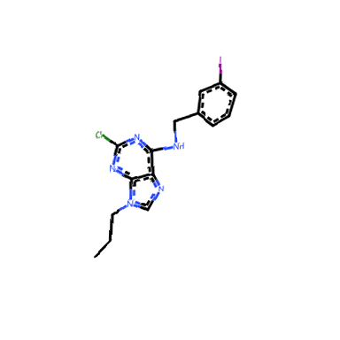 CCCn1cnc2c(NCc3cccc(I)c3)nc(Cl)nc21